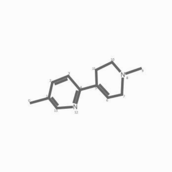 Cc1ccc(C2=CCN(C)CC2)nc1